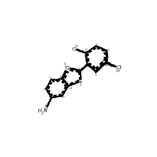 Nc1ccc2oc(-c3cc(Cl)ccc3Cl)nc2c1